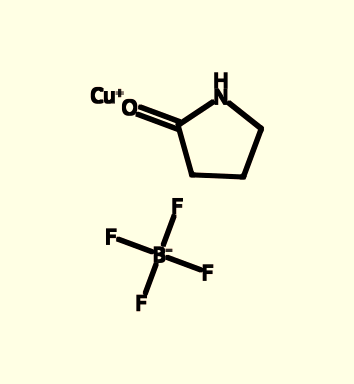 F[B-](F)(F)F.O=C1CCCN1.[Cu+]